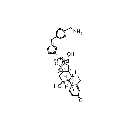 C[C@]12C=CC(=O)C=C1CC[C@@H]1[C@@H]2[C@@H](O)C[C@@]2(C)[C@H]1C[C@H]1O[C@@H](c3ccn(Cc4ccc(CN)cc4)c3)O[C@]12C(=O)CO